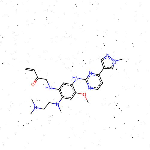 C=CC(=O)CNc1cc(Nc2nccc(-c3cnn(C)c3)n2)c(OC)cc1N(C)CCN(C)C